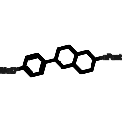 CCCCCC1CCC2CC(c3ccc(OC)cc3)CCC2C1